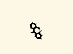 CC1C2=C(CCC=C2)CSc2ccccc21